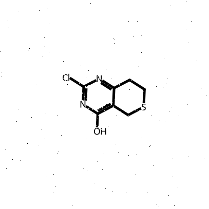 Oc1nc(Cl)nc2c1CSCC2